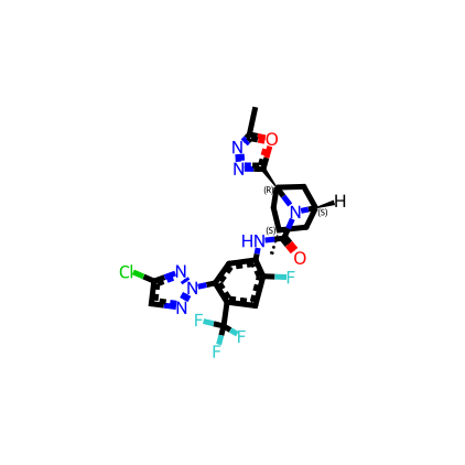 Cc1nnc([C@@]23C[C@@H](C)C[C@@H](C2)N3C(=O)Nc2cc(-n3ncc(Cl)n3)c(C(F)(F)F)cc2F)o1